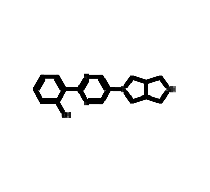 Oc1ccccc1-c1ncc(N2CC3CNCC3C2)cn1